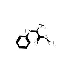 COC(=O)[C@H](C)Nc1ccccc1